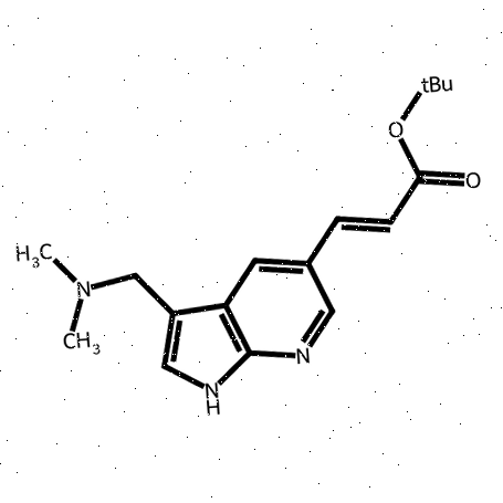 CN(C)Cc1c[nH]c2ncc(C=CC(=O)OC(C)(C)C)cc12